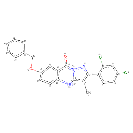 N#Cc1c(-c2ccc(Cl)cc2Cl)nn2c(=O)c3cc(OCc4ccccc4)ccc3[nH]c12